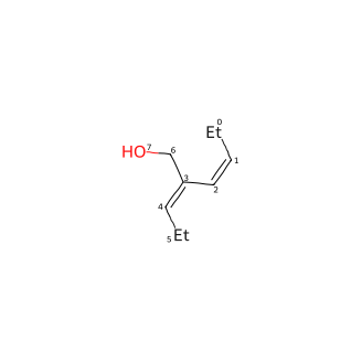 CC/C=C\C(=C/CC)CO